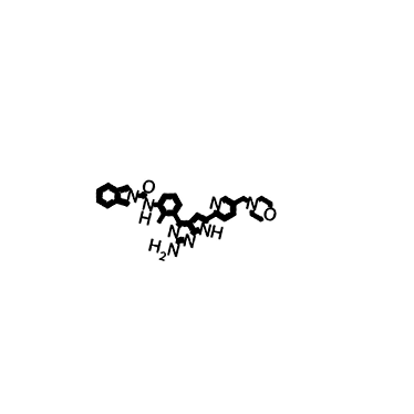 Cc1c(NC(=O)n2cc3ccccc3c2)cccc1-c1nc(N)nc2[nH]c(-c3ccc(CN4CCOCC4)cn3)cc12